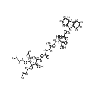 CCCCOC1[C@@H](OC)OC(COC(=O)CCC(=O)OC[C@H](NC(=O)OCC2c3ccccc3-c3ccccc32)C(=O)O)[C@@H](O)[C@@H]1OCCCC